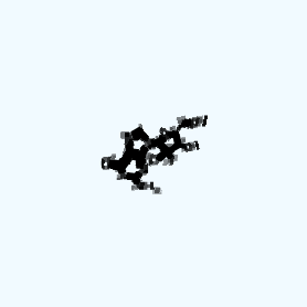 Nc1nc(Cl)c2ncn(C3O[C@H](CO)[C@@H](O)[C@]3(F)Cl)c2n1